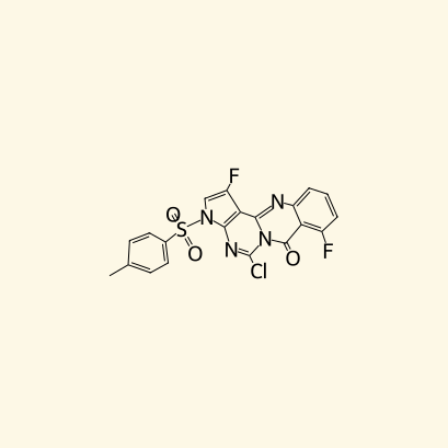 Cc1ccc(S(=O)(=O)n2cc(F)c3c2nc(Cl)n2c(=O)c4c(F)cccc4nc32)cc1